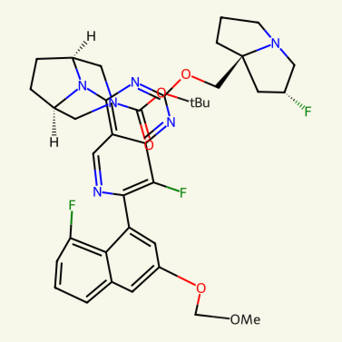 COCOc1cc(-c2ncc3c(N4[C@@H]5CC[C@H]4CN(C(=O)OC(C)(C)C)C5)nc(OC[C@@]45CCCN4C[C@H](F)C5)nc3c2F)c2c(F)cccc2c1